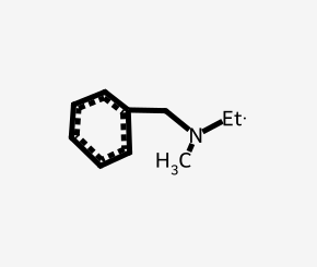 C[CH]N(C)Cc1ccccc1